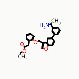 CCOC(=O)Cc1ccccc1OCc1coc2ccc(-c3cccc([C@H](C)N)c3)cc12